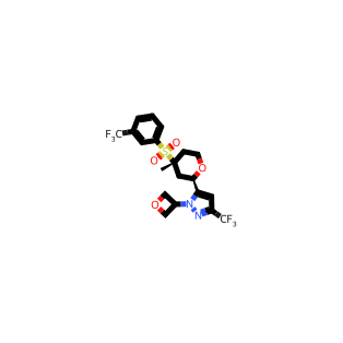 C[C@@]1(S(=O)(=O)c2cccc(C(F)(F)F)c2)CCO[C@@H](c2cc(C(F)(F)F)nn2C2COC2)C1